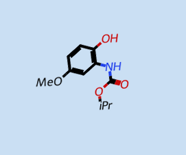 COc1ccc(O)c(NC(=O)OC(C)C)c1